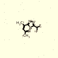 Cc1cc(C)c2nnc(C(F)F)n2n1